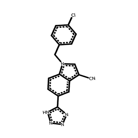 N#Cc1cn(Cc2ccc(Cl)cc2)c2ccc(-c3nnn[nH]3)cc12